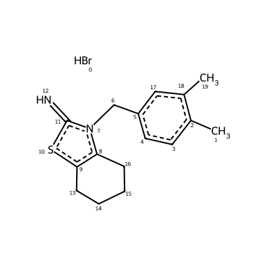 Br.Cc1ccc(Cn2c3c(sc2=N)CCCC3)cc1C